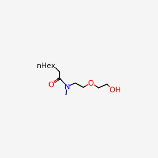 CCCCCCCC(=O)N(C)CCOCCO